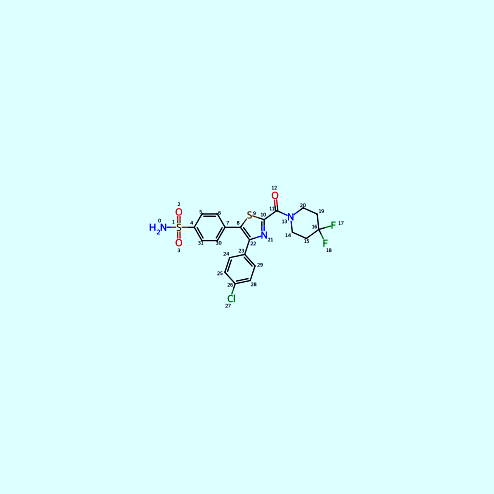 NS(=O)(=O)c1ccc(-c2sc(C(=O)N3CCC(F)(F)CC3)nc2-c2ccc(Cl)cc2)cc1